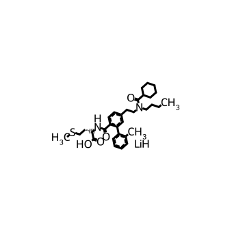 CCCCN(CCc1ccc(C(=O)N[C@@H](CCSC)C(=O)O)c(-c2ccccc2C)c1)C(=O)C1CCCCC1.[LiH]